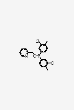 Cc1ccc(B(OCc2ccccn2)c2ccc(C)c(Cl)c2)cc1Cl